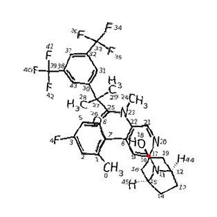 Cc1cc(F)ccc1-c1cc(N2[C@@H]3CC[C@H]2C[C@@H](O)C3)ncc1N(C)C(=O)C(C)(C)c1cc(C(F)(F)F)cc(C(F)(F)F)c1